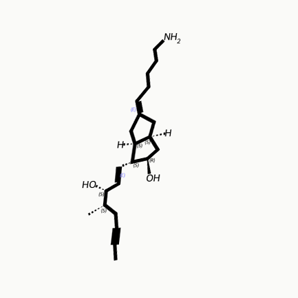 CC#CC[C@H](C)[C@H](O)/C=C/[C@@H]1[C@H]2C/C(=C/CCCCN)C[C@H]2C[C@H]1O